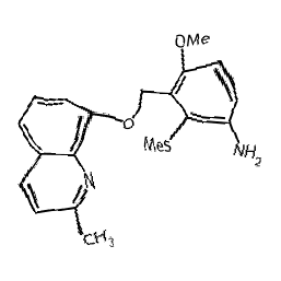 COc1ccc(N)c(SC)c1COc1cccc2ccc(C)nc12